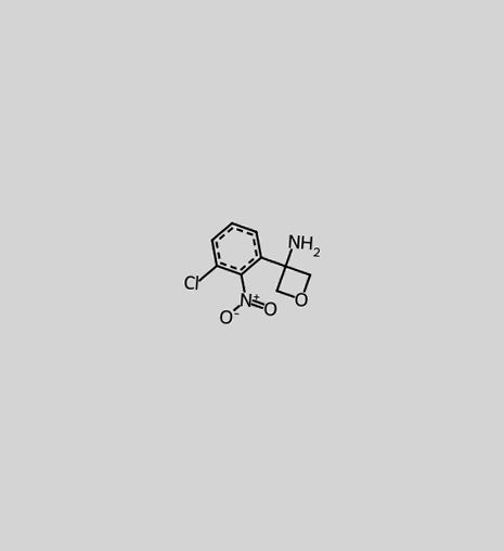 NC1(c2cccc(Cl)c2[N+](=O)[O-])COC1